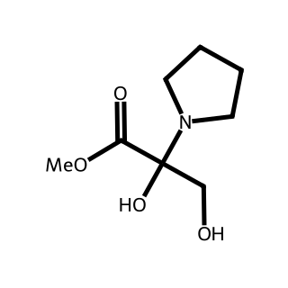 COC(=O)C(O)(CO)N1CCCC1